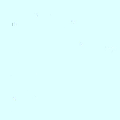 CCOC(=O)c1ccccc1N1CCN(C)C(c2cnc3[nH]cc(-c4ccc(C(=O)N(C)C)cc4)c3c2)C1